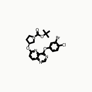 CC(C)(C)OC(=O)N1CC[C@H](Oc2ccc3ncnc(Oc4ccc(Cl)c(Br)c4)c3n2)C1